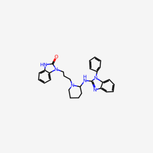 O=c1[nH]c2ccccc2n1CCCN1CCCCC1Nc1nc2ccccc2n1-c1ccccc1